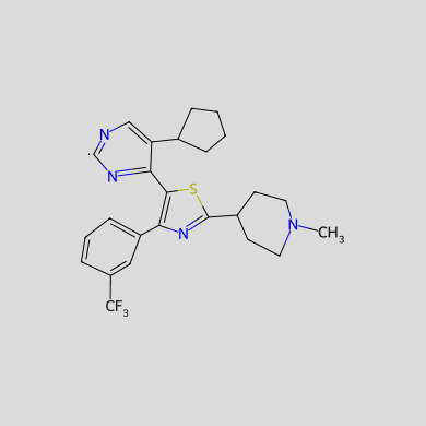 CN1CCC(c2nc(-c3cccc(C(F)(F)F)c3)c(-c3n[c]ncc3C3CCCC3)s2)CC1